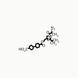 C=C(C)C(=O)OCC(CCOC(=O)C1CCC(C2CCC(C(=O)O)CC2)CC1)OC(=O)C(=C)C